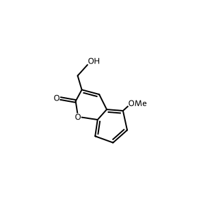 COc1cccc2oc(=O)c(CO)cc12